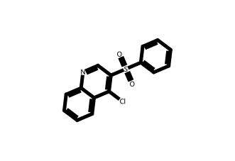 O=S(=O)(c1ccccc1)c1cnc2ccccc2c1Cl